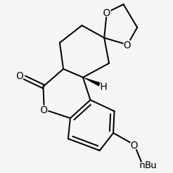 CCCCOc1ccc2c(c1)[C@H]1CC3(CCC1C(=O)O2)OCCO3